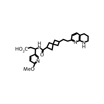 COc1ccc(C(CC(=O)O)NC(=O)C2CC3(CC(CCc4ccc5c(n4)NCCC5)C3)C2)cn1